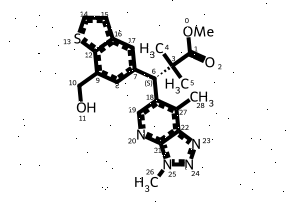 COC(=O)C(C)(C)[C@@H](c1cc(CO)c2sccc2c1)c1cnc2c(nnn2C)c1C